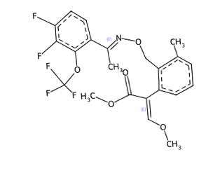 CO/C=C(/C(=O)OC)c1cccc(C)c1CO/N=C(\C)c1ccc(F)c(F)c1OC(F)(F)F